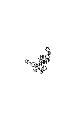 CC(C)(C=C(C#N)C(=O)N1CCC[C@@H](c2nc(-c3ccc(Oc4ccccc4)cc3F)c3c(N)nccn23)C1)N1CCN(C2COC2)CC1